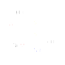 CSSC.NOC=O.[Ni]